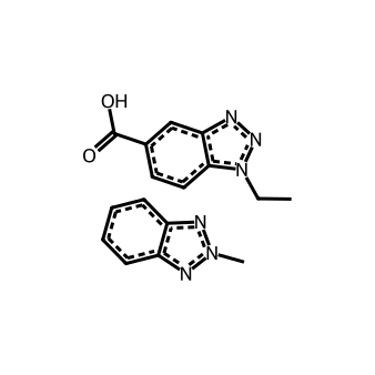 CCn1nnc2cc(C(=O)O)ccc21.Cn1nc2ccccc2n1